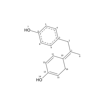 CC(Cc1ccc(O)cc1)=C1C=CC(O)=CC1